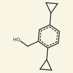 O[CH]c1cc(C2CC2)ccc1C1CC1